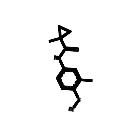 CCSc1ccc(NC(=O)C2(C)CC2)cc1C